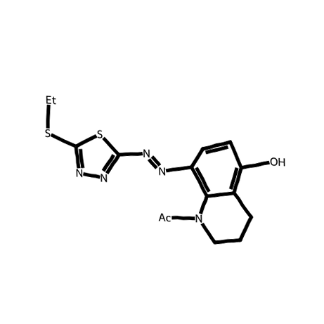 CCSc1nnc(/N=N/c2ccc(O)c3c2N(C(C)=O)CCC3)s1